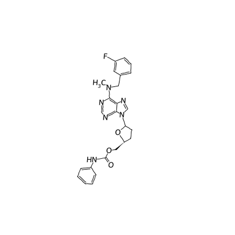 CN(Cc1cccc(F)c1)c1ncnc2c1ncn2C1CC[C@@H](COC(=O)Nc2ccccc2)O1